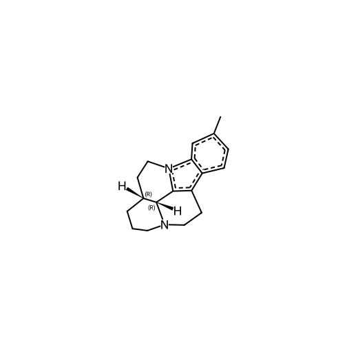 Cc1ccc2c3c4n(c2c1)CC[C@H]1CCCN(CC3)[C@@H]41